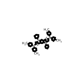 Cc1ccc(N(c2ccc(C)cc2)c2cc3c(s2)c2cc4c(cc2n3-c2ccccc2)c2sc(N(c3ccc(C)cc3)c3ccc(C)cc3)cc2n4-c2ccccc2)cc1